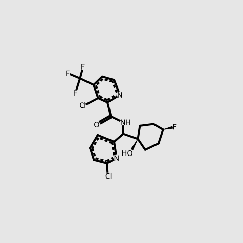 O=C(NC(c1cccc(Cl)n1)[C@]1(O)CC[C@@H](F)CC1)c1nccc(C(F)(F)F)c1Cl